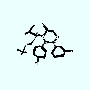 CC(C)[C@H](CSC(C)(C)C)N1C(=O)CO[C@H](c2cccc(Cl)c2)[C@H]1c1ccc(Cl)cc1